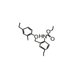 CCOC(=O)Nc1ccc(I)cc1COc1ccc(CC)cc1C